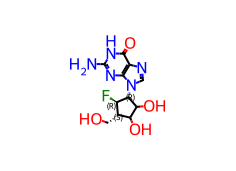 Nc1nc2c(ncn2[C@@H]2C(O)C(O)[C@H](CO)[C@H]2F)c(=O)[nH]1